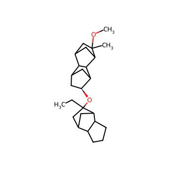 CCC1(O[C@H]2CC3CC2C2C3C3CC2C(C)(OC)C3)CC2CC1C1CCCC21